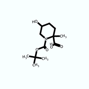 CC(C)(C)OC(=O)N1CC(O)CCC1(C)C(=O)O